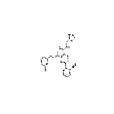 N#Cc1ccccc1-c1ccc(C(=O)NCc2ncco2)c(NCCc2cccc(F)c2)n1